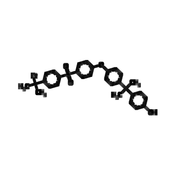 CCC(C)(C)c1ccc(S(=O)(=O)c2ccc(Oc3ccc(C(C)(C)c4ccc(O)cc4)cc3)cc2)cc1